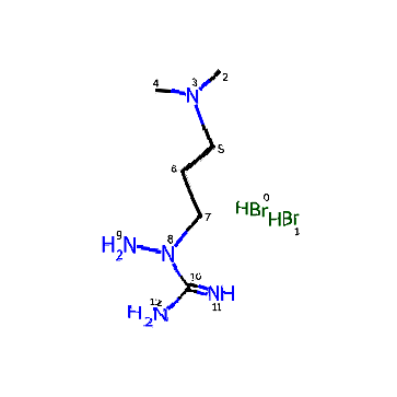 Br.Br.CN(C)CCCN(N)C(=N)N